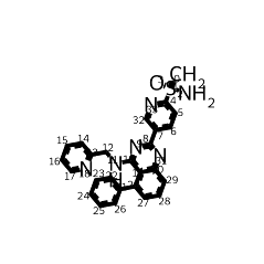 C=S(N)(=O)c1ccc(-c2nc(NCc3ccccn3)c3c(-c4ccccc4)cccc3n2)cn1